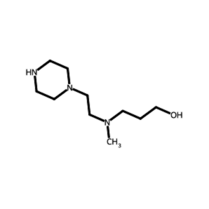 CN(CCCO)CCN1CCNCC1